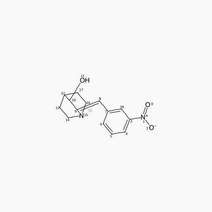 O=[N+]([O-])c1cccc(/C=C2/C(O)C3CCN2CC3)c1